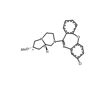 CO[C@H]1C[C@H]2CN(C3=Nc4cc(Cl)ccc4Oc4ccccc43)CCN2C1